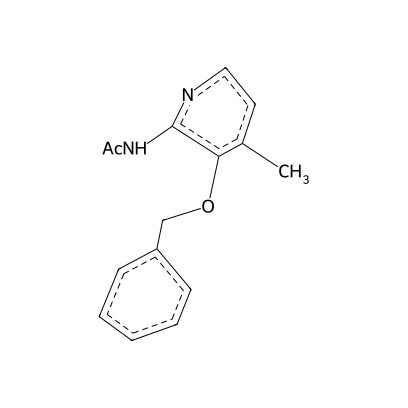 CC(=O)Nc1nccc(C)c1OCc1ccccc1